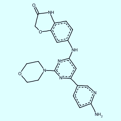 Nc1ccc(-c2cc(Nc3ccc4c(c3)OCC(=O)N4)nc(N3CCOCC3)n2)cn1